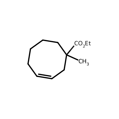 CCOC(=O)C1(C)C/C=C\CCCC1